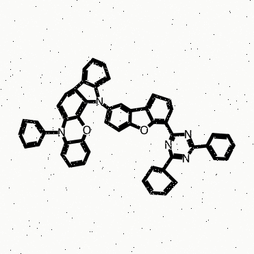 c1ccc(-c2nc(-c3ccccc3)nc(-c3cccc4c3oc3ccc(-n5c6ccccc6c6ccc7c(c65)Oc5ccccc5N7c5ccccc5)cc34)n2)cc1